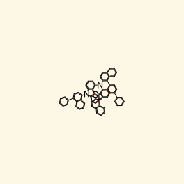 c1ccc(-c2ccc(-c3c(N(c4cccc5c4oc4ccc6ccccc6c45)c4cccc5c4c4ccccc4n5-c4ccc(-c5ccccc5)c5ccccc45)ccc4ccccc34)cc2)cc1